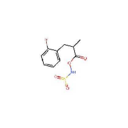 CC(Cc1ccccc1Br)C(=O)ON[SH](=O)=O